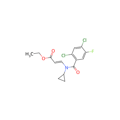 CCOC(=O)C=CN(C(=O)c1cc(F)c(Cl)cc1Cl)C1CC1